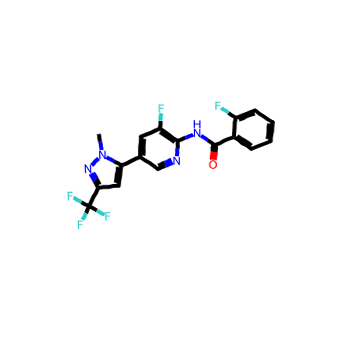 Cn1nc(C(F)(F)F)cc1-c1cnc(NC(=O)c2ccccc2F)c(F)c1